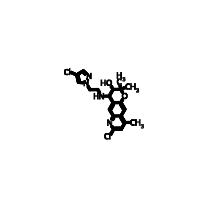 Cc1cc(Cl)nc2cc3c(cc12)OC(C)(C)C(O)C3NCCn1cc(Cl)cn1